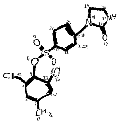 Cc1cc(Cl)c(OS(=O)(=O)c2ccc(N3CCNC3=O)cc2)c(Cl)c1